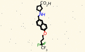 O=C(O)C1CCC(NCc2ccc3cc(OCCCC(F)(F)C(F)(F)F)ccc3c2)C1